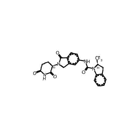 O=C1CC[C@@H](N2Cc3cc(NC(=O)N4c5ccccc5C[C@@H]4C(F)(F)F)ccc3C2=O)C(=O)N1